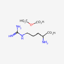 N=C(N)NCCCC(N)C(=O)O.O=C(O)OC(=O)O